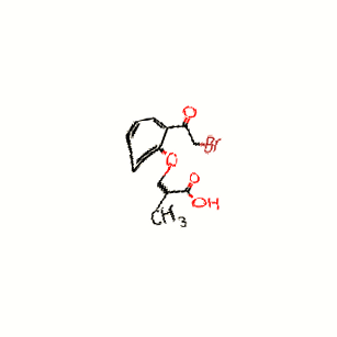 CC(COc1ccccc1C(=O)CBr)C(=O)O